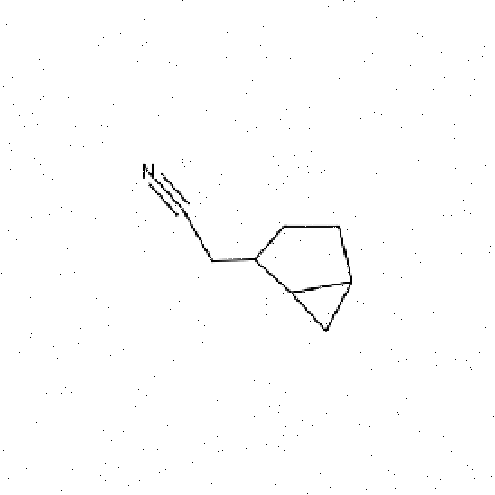 N#CCC1CCC2CC12